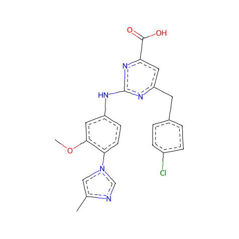 COc1cc(Nc2nc(Cc3ccc(Cl)cc3)cc(C(=O)O)n2)ccc1-n1cnc(C)c1